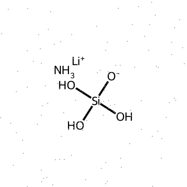 N.[Li+].[O-][Si](O)(O)O